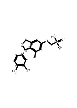 Cc1cc(OCP(=O)(O)O)cc2c1[C@H](c1ccc(O)c(C(C)C)c1)OC2